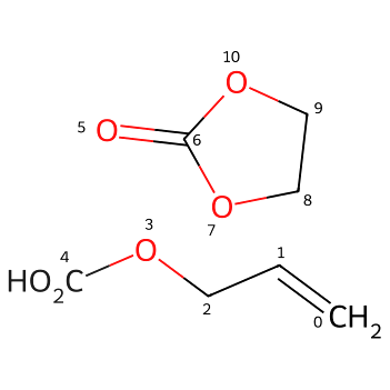 C=CCOC(=O)O.O=C1OCCO1